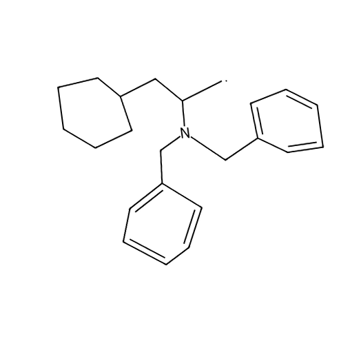 [CH2]C(CC1CCCCC1)N(Cc1ccccc1)Cc1ccccc1